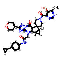 Cc1ncnc(C(=O)N2CCC3(CC2)c2c(n(CC(=O)Nc4ccc(C5CC5)cc4)c4nc(C5=CCOCC5)nn4c2=O)[C@H]2C[C@H]23)c1O